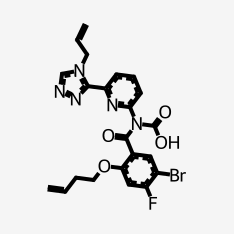 C=CCCOc1cc(F)c(Br)cc1C(=O)N(C(=O)O)c1cccc(-c2nncn2CC=C)n1